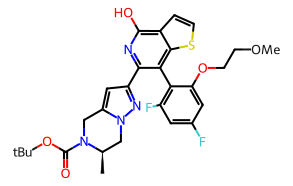 COCCOc1cc(F)cc(F)c1-c1c(-c2cc3n(n2)C[C@@H](C)N(C(=O)OC(C)(C)C)C3)nc(O)c2ccsc12